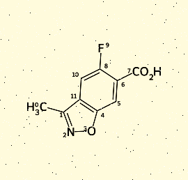 Cc1noc2cc(C(=O)O)c(F)cc12